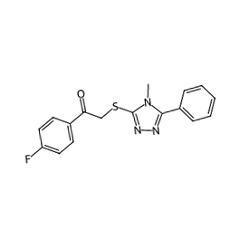 Cn1c(SCC(=O)c2ccc(F)cc2)nnc1-c1ccccc1